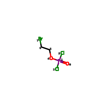 O=P(Cl)(Cl)OCCBr